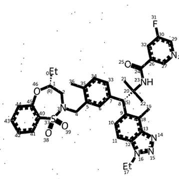 CC[C@@H]1CN(Cc2cc([C@@H](c3ccc4c(nnn4CC)c3C)C(C)(C)NC(=O)c3cncc(F)c3)ccc2C)S(=O)(=O)c2ccccc2O1